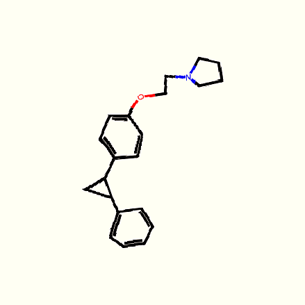 c1ccc(C2CC2c2ccc(OCCN3CCCC3)cc2)cc1